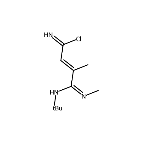 C/N=C(NC(C)(C)C)\C(C)=C\C(=N)Cl